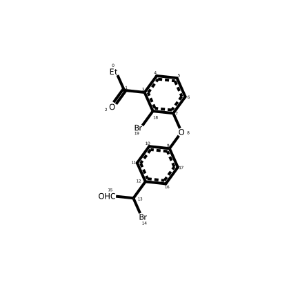 CCC(=O)c1cccc(Oc2ccc(C(Br)C=O)cc2)c1Br